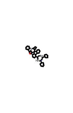 C1=C(/c2ccccc2)N/C=C(/c2cccc3c2-c2ccccc2C32c3ccccc3-n3c4ccccc4c4cccc2c43)CNC/1c1ccccc1